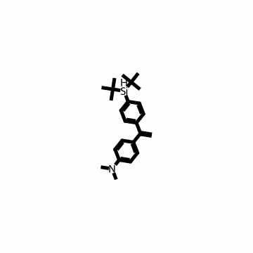 C=C(c1ccc(N(C)C)cc1)c1ccc([SiH](C(C)(C)C)C(C)(C)C)cc1